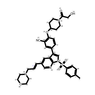 Cc1ccc(S(=O)(=O)n2cc(-c3ccc(OC4CCN(C(=O)CO)CC4)c(C#N)c3)c3cc(/C=C/CN4CCOCC4)cnc32)cc1